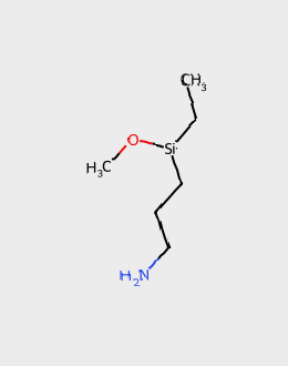 CC[Si](CCCN)OC